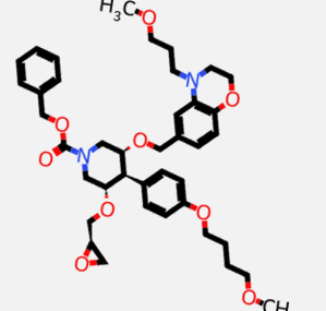 COCCCCOc1ccc([C@@H]2[C@@H](OCc3ccc4c(c3)N(CCCOC)CCO4)CN(C(=O)OCc3ccccc3)C[C@H]2OC[C@H]2CO2)cc1